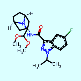 COC(CN1[C@@H]2CC[C@H]1C[C@H](NC(=O)c1nn(C(C)C)c3ccc(F)cc13)C2)OC